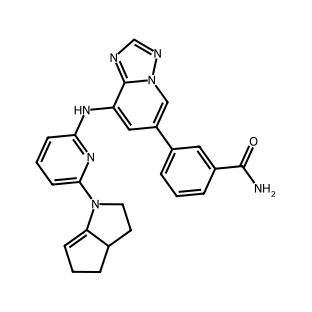 NC(=O)c1cccc(-c2cc(Nc3cccc(N4CCC5CCC=C54)n3)c3ncnn3c2)c1